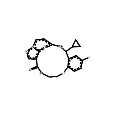 O=C1NCCOc2ccc(F)cc2C(C2CC2)Nc2ccn3ncc1c3n2